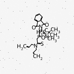 C=CCN(CC=C)C(=S)C[C@@H](CCN1C(=O)c2ccccc2C1=O)O[Si](C)(C)C(C)(C)C